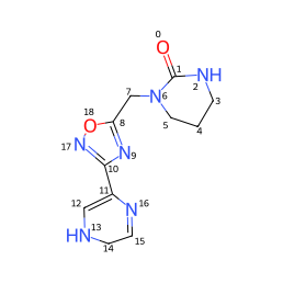 O=C1NCCCN1Cc1nc(C2=CNCC=N2)no1